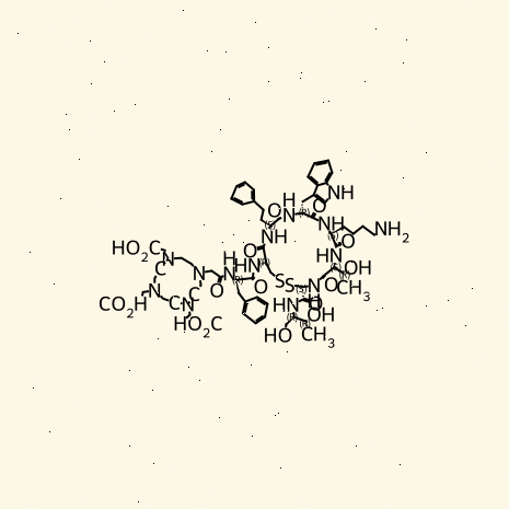 C[C@@H](O)[C@@H]1NC(=O)[C@H](CCCCN)NC(=O)[C@@H](Cc2c[nH]c3ccccc23)NC(=O)[C@H](CCc2ccccc2)NC(=O)[C@@H](NC(=O)[C@@H](Cc2ccccc2)NC(=O)CN2CCN(CC(=O)O)CCN(CC(=O)O)CCN(CC(=O)O)CC2)CSS[C@@H](C(=O)N[C@H](CO)[C@@H](C)O)NC1=O